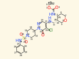 CC(C)(C)OC(=O)N[C@@H]1CCOC[C@@H]1CNc1cnn(C2CCN(S(=O)(=O)Nc3ccccc3)CC2)c(=O)c1Cl